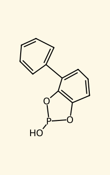 OP1Oc2cccc(-c3ccccc3)c2O1